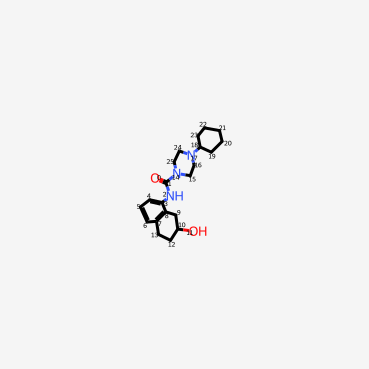 O=C(Nc1cccc2c1CC(O)CC2)N1CCN(C2CCCCC2)CC1